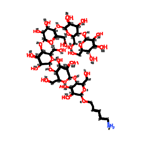 NCCCCCO[C@@H]1OC(CO)[C@@H](O[C@@H]2OC(CO)[C@@H](O[C@H]3OC(CO)[C@H](O[C@H]4OC(CO)[C@@H](O[C@@H]5OC(CO)[C@@H](O[C@@H]6OC(CO)[C@@H](O)C(O)C6O)C(O)C5O)C(O)C4O)C(O)C3O)C(O)C2O)C(O)C1O